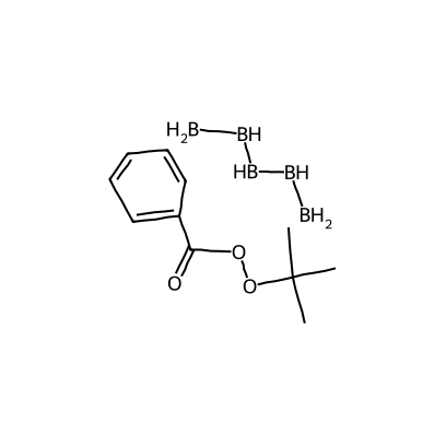 BBBBB.CC(C)(C)OOC(=O)c1ccccc1